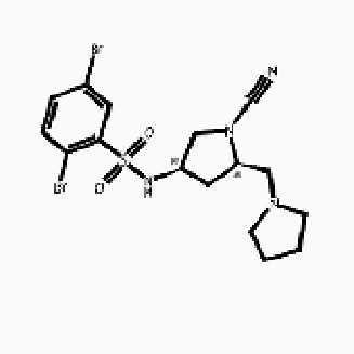 N#CN1C[C@H](NS(=O)(=O)c2cc(Br)ccc2Br)C[C@@H]1CN1CCCC1